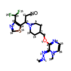 C=N/N=c1/c(OCC2CCN(C(CN=O)c3scnc3C(F)F)CC2)nccn1C